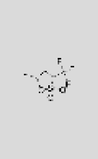 CC1OS(=O)(=O)C(C(F)(F)F)C1C